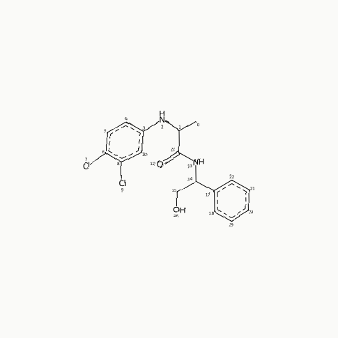 CC(Nc1ccc(Cl)c(Cl)c1)C(=O)NC(CO)c1ccccc1